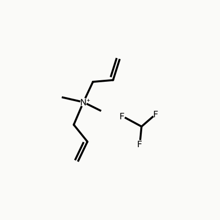 C=CC[N+](C)(C)CC=C.FC(F)F